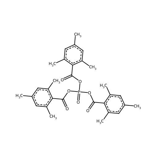 Cc1cc(C)c(C(=O)OP(=O)(OC(=O)c2c(C)cc(C)cc2C)OC(=O)c2c(C)cc(C)cc2C)c(C)c1